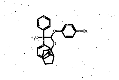 CCC(C)c1ccc(OC(OC2CC3CCC2C3)C(C)(c2ccccc2)c2ccccc2)cc1